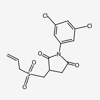 C=CCS(=O)(=O)CC1CC(=O)N(c2cc(Cl)cc(Cl)c2)C1=O